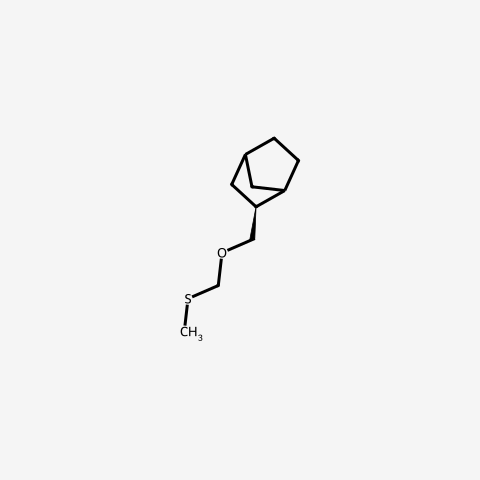 CSCOC[C@H]1CC2CCC1C2